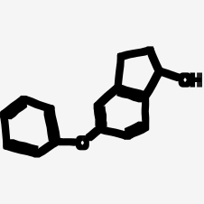 OC1CCc2cc(Oc3ccccc3)ccc21